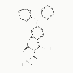 O=C(c1c(O)c2ccc(N(c3ccccc3)c3ccccc3)cc2oc1=O)C(F)(F)F